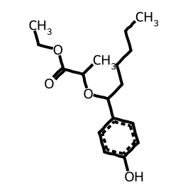 CCCCCC(OC(C)C(=O)OCC)c1ccc(O)cc1